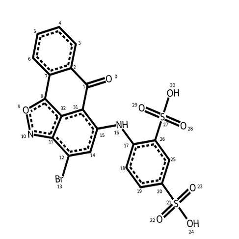 O=C1c2ccccc2-c2onc3c(Br)cc(Nc4ccc(S(=O)(=O)O)cc4S(=O)(=O)O)c1c23